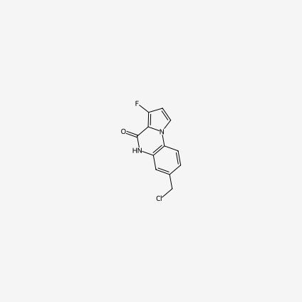 O=c1[nH]c2cc(CCl)ccc2n2ccc(F)c12